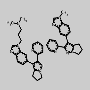 CN(C)CCCn1cnc2ccc(-c3c(-c4ccccn4)nn4c3CCC4)cc21.Cn1cnc2cc(-c3c(-c4ccccn4)nn4c3CCC4)ccc21